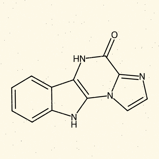 O=c1[nH]c2c3ccccc3[nH]c2n2ccnc12